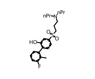 CCCN(CCC)CCCS(=O)(=O)c1c[c]c(-c2cccc(F)c2C)c(O)c1